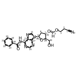 N#CCCOPO[C@H]1C[C@H](n2cnc3c(NC(=O)c4ccccc4)ncnc32)O[C@@H]1CO